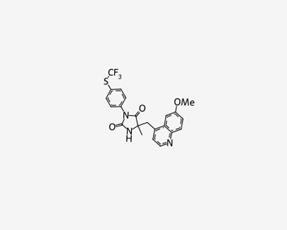 COc1ccc2nccc(CC3(C)NC(=O)N(c4ccc(SC(F)(F)F)cc4)C3=O)c2c1